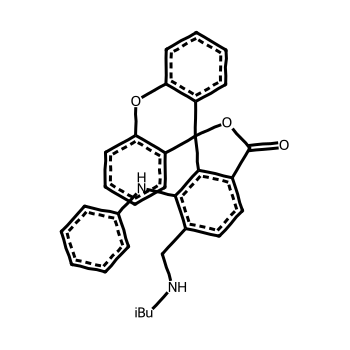 CCC(C)NCc1ccc2c(c1Nc1ccccc1)C1(OC2=O)c2ccccc2Oc2ccccc21